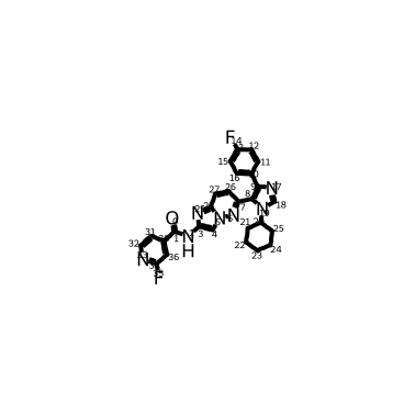 O=C(Nc1cn2nc(-c3c(-c4ccc(F)cc4)ncn3C3CCCCC3)ccc2n1)c1ccnc(F)c1